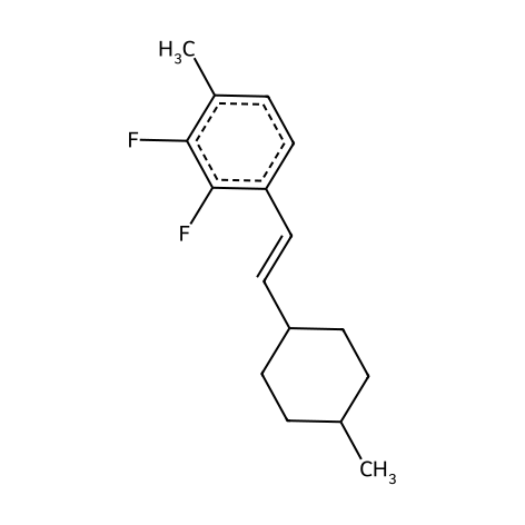 Cc1ccc(C=CC2CCC(C)CC2)c(F)c1F